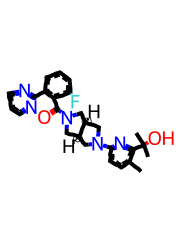 Cc1ccc(N2C[C@H]3CN(C(=O)c4c(F)cccc4-c4ncccn4)C[C@H]3C2)nc1C(C)(C)O